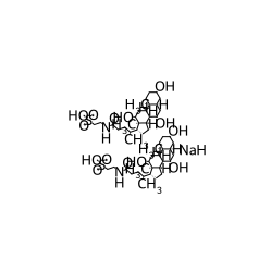 C[C@H](CCC(=O)NCCS(=O)(=O)O)[C@H]1CC[C@H]2[C@@H]3[C@H](O)C[C@@H]4C[C@H](O)CC[C@]4(C)[C@H]3C[C@H](O)[C@]12C.C[C@H](CCC(=O)NCCS(=O)(=O)O)[C@H]1CC[C@H]2[C@@H]3[C@H](O)C[C@@H]4C[C@H](O)CC[C@]4(C)[C@H]3C[C@H](O)[C@]12C.[NaH]